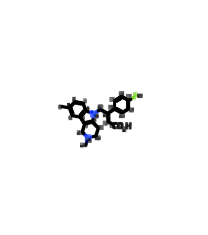 Cc1ccc2c(c1)c1c(n2CC(=CC(=O)O)c2ccc(F)cc2)CCN(C)C1